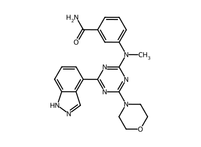 CN(c1cccc(C(N)=O)c1)c1nc(-c2cccc3[nH]ncc23)nc(N2CCOCC2)n1